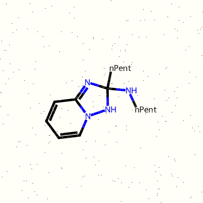 CCCCCNC1(CCCCC)N=C2C=CC=CN2N1